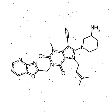 CC(C)=CCn1c(N2CCCC(N)C2)c(C#N)c2c1c(=O)n(Cc1nc3ncccc3o1)c(=O)n2C